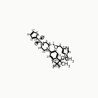 Cn1cnc(COC[C@H]2CN(S(=O)(=O)c3cccs3)CCN2c2ccc(C(C)(O)C(F)(F)F)cc2)c1